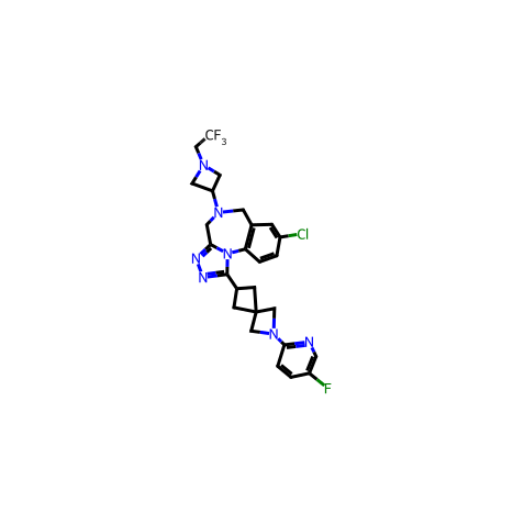 Fc1ccc(N2CC3(CC(c4nnc5n4-c4ccc(Cl)cc4CN(C4CN(CC(F)(F)F)C4)C5)C3)C2)nc1